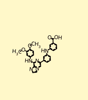 COc1ccc(Nc2nc(-c3cccc(Nc4cccc(C(=O)O)c4)c3)cn3ccnc23)cc1OC